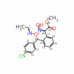 CC=NOC(c1ccc(Cl)cc1)c1ccccc1C(=NO)C(=O)OC